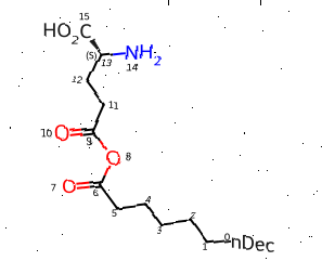 CCCCCCCCCCCCCCCC(=O)OC(=O)CC[C@H](N)C(=O)O